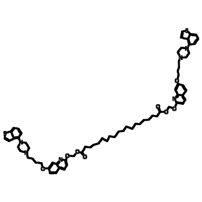 O=C(CCCCCCCCCCCCCCCCCCC(=O)OCOc1ccc2ccc(OCCCCN3CCN(c4cccc5sccc45)CC3)cc2n1)OCOc1ccc2ccc(OCCCCN3CCN(c4cccc5sccc45)CC3)cc2n1